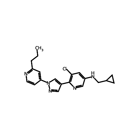 CCCc1cc(-n2cc(-c3ncc(NCC4CC4)cc3Cl)cn2)ccn1